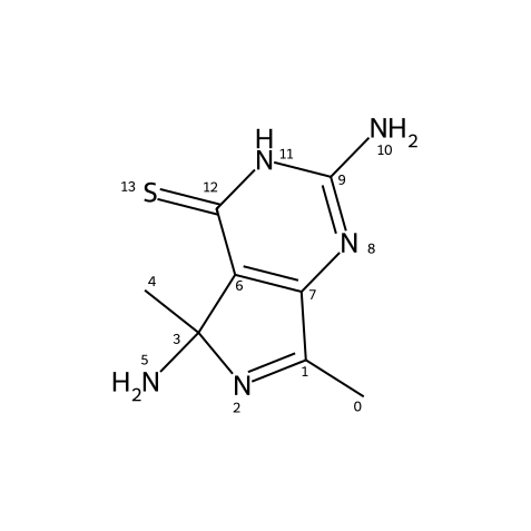 CC1=NC(C)(N)c2c1nc(N)[nH]c2=S